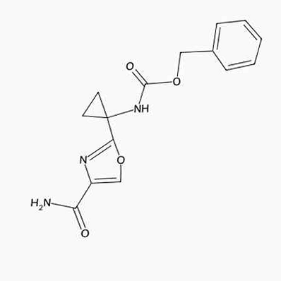 NC(=O)c1coc(C2(NC(=O)OCc3ccccc3)CC2)n1